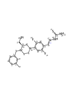 Cc1cccc(CN2CCN(c3cc(F)c(/C=N/NC(N)=S)cc3F)C[C@@H]2CC(C)C)c1